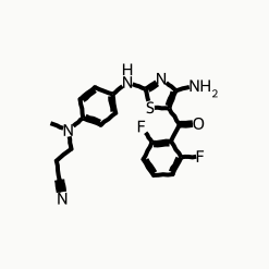 CN(CCC#N)c1ccc(Nc2nc(N)c(C(=O)c3c(F)cccc3F)s2)cc1